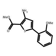 COC(=O)c1sc(-c2ccccc2OC)cc1N